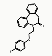 O=C1Cc2ccccc2-c2ccccc2N1CCOc1ccc(F)cc1